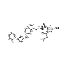 C=CC(=O)N1C[C@@H](O)C[C@@H]1C(=O)NCCn1cnc2cnc(Nc3ncc(-c4ncncc4F)s3)cc21